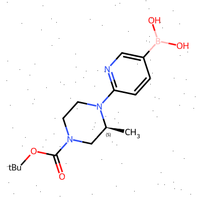 C[C@H]1CN(C(=O)OC(C)(C)C)CCN1c1ccc(B(O)O)cn1